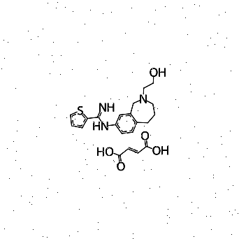 N=C(Nc1ccc2c(c1)CN(CCO)CCC2)c1cccs1.O=C(O)/C=C/C(=O)O